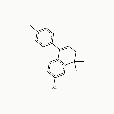 CC(=O)c1ccc2c(c1)C(C)(C)CC=C2c1ccc(C)cc1